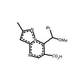 COC(c1c(C(=O)O)cnc2cc(C)nn12)C(C)C